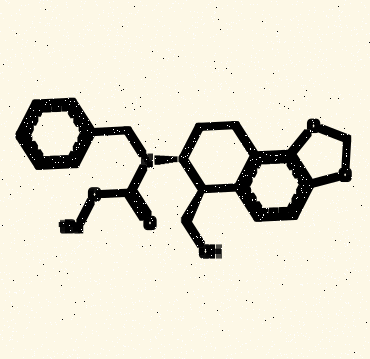 CC(C)(C)OC(=O)N(Cc1ccccc1)[C@@H]1CCc2c(ccc3c2OCO3)[C@H]1CO